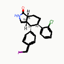 O=C1NC[C@H]2[C@@H](c3ccc(CI)cc3)[C@H](c3ccccc3Cl)CC[C@@H]12